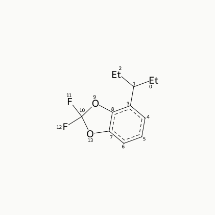 CCC(CC)c1cccc2c1OC(F)(F)O2